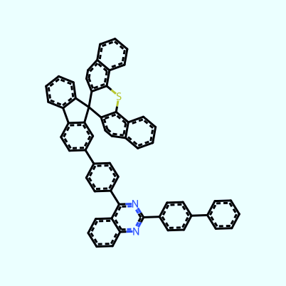 c1ccc(-c2ccc(-c3nc(-c4ccc(-c5ccc6c(c5)C5(c7ccccc7-6)c6ccc7ccccc7c6Sc6c5ccc5ccccc65)cc4)c4ccccc4n3)cc2)cc1